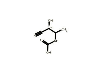 CC(NC(=O)O)[C@H](O)C#N